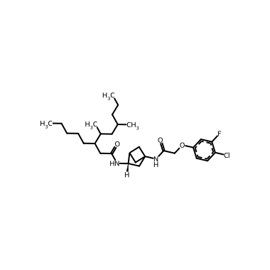 CCCCCC(CC(=O)N[C@H]1CC2(NC(=O)COc3ccc(Cl)c(F)c3)CC1C2)C(C)CC(C)CCC